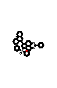 CC12C=CC=CC1=CC(c1cc(P(=O)(c3ccccc3)c3ccccc3)c3ccc4nc(-c5ccccc5)nc5ccc1c3c54)=C1C=CC=CC12